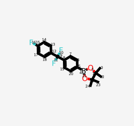 CC1(C)OB(c2ccc(C(F)(F)c3ccc(F)cc3)cc2)OC1(C)C